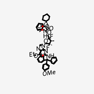 CCOc1nc(NC(c2ccccc2)(c2ccccc2)c2ccc(OC)cc2)nc2c1ncn2[C@@H]1O[C@](F)(COP(=O)(N[C@@H](C)C(=O)OC2CCCCC2)Oc2ccccc2)[C@@H](C)[C@@]1(C)F